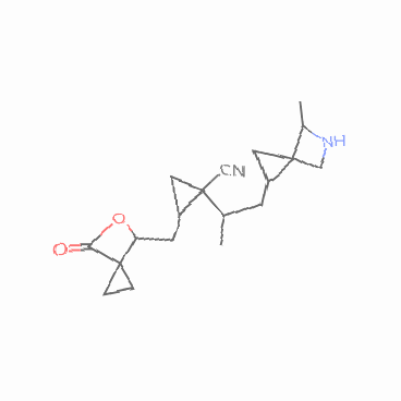 CC(CC1CC12CNC2C)C1(C#N)CC1CC1OC(=O)C12CC2